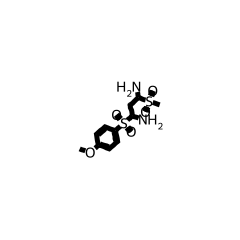 COc1ccc(S(=O)(=O)C(N)CC(N)S(C)(=O)=O)cc1